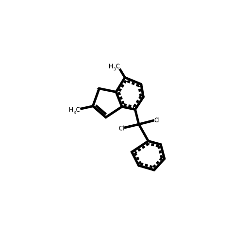 CC1=Cc2c(C(Cl)(Cl)c3ccccc3)ccc(C)c2[CH]1